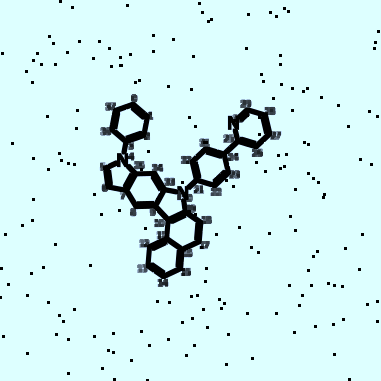 c1ccc(-n2ccc3cc4c5c6ccccc6ccc5n(-c5ccc(-c6ccccn6)cc5)c4cc32)cc1